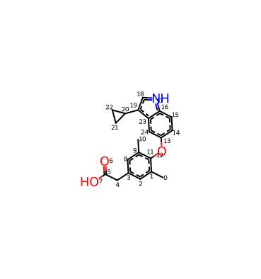 Cc1cc(CC(=O)O)cc(C)c1Oc1ccc2[nH]cc(C3CC3)c2c1